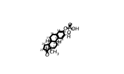 C[C@]12CC[C@@H]3c4ccc(OP(=O)(O)O)cc4CC[C@H]3[C@@H]1CCC2=O